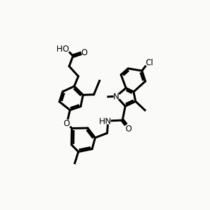 CCc1cc(Oc2cc(C)cc(CNC(=O)c3c(C)c4cc(Cl)ccc4n3C)c2)ccc1CCC(=O)O